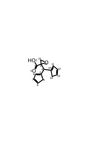 O=C(O)C1(C(C2=CC=CC2)C2=CC=CC2)CO1